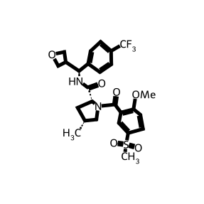 COc1ccc(S(C)(=O)=O)cc1C(=O)N1C[C@H](C)C[C@@H]1C(=O)N[C@@H](c1ccc(C(F)(F)F)cc1)C1COC1